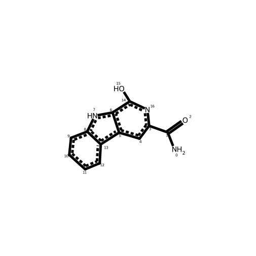 NC(=O)c1cc2c([nH]c3ccccc32)c(O)n1